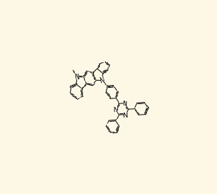 Cn1c2ccccc2c2cc3c(cc21)c1ccccc1n3-c1ccc(-c2nc(-c3ccccc3)nc(-c3ccccc3)n2)cc1